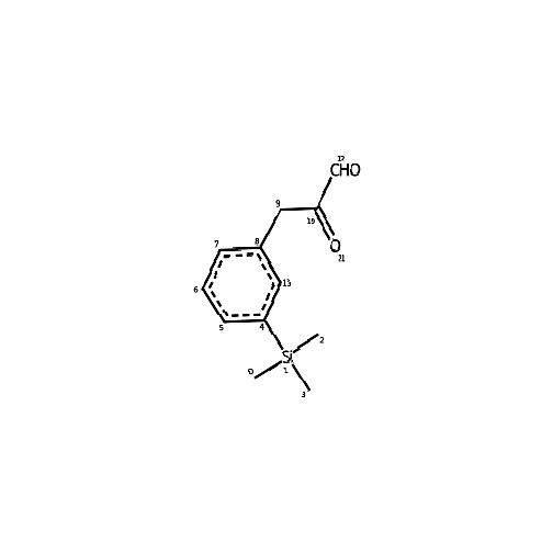 C[Si](C)(C)c1cccc(CC(=O)C=O)c1